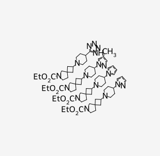 CCOC(=O)N1CCC2(CC(N3CCC(c4nnn[nH]4)CC3)C2)C1.CCOC(=O)N1CCC2(CC(N3CCC(n4cc(C)cn4)CC3)C2)C1.CCOC(=O)N1CCC2(CC(N3CCC(n4cccc4)CC3)C2)C1.CCOC(=O)N1CCC2(CC(N3CCC(n4cccn4)CC3)C2)C1